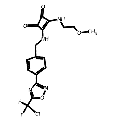 COCCNc1c(NCc2ccc(-c3noc(C(F)(F)Cl)n3)cc2)c(=O)c1=O